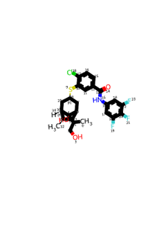 CC(CO)[C@@]1(O)C2C[C@@H](Sc3cc(C(=O)Nc4cc(F)c(F)c(F)c4)ccc3Cl)C[C@@H]1[C@@H](C)C2